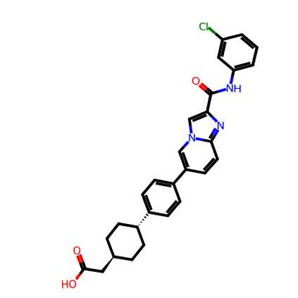 O=C(O)C[C@H]1CC[C@H](c2ccc(-c3ccc4nc(C(=O)Nc5cccc(Cl)c5)cn4c3)cc2)CC1